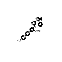 COc1cc(N2CCC(N3CCN(C)CC3)CC2)ccc1Nc1cc(N2OCC3(CC3)[C@H]2c2ccccc2)ncn1